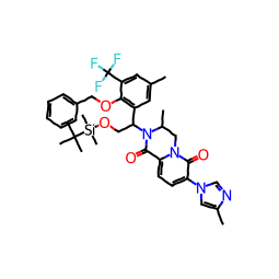 Cc1cc(C(CO[Si](C)(C)C(C)(C)C)N2C(=O)c3ccc(-n4cnc(C)c4)c(=O)n3CC2C)c(OCc2ccccc2)c(C(F)(F)F)c1